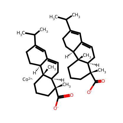 CC(C)C1=CC2=CC[C@@H]3[C@](C)(CCC[C@@]3(C)C(=O)[O-])[C@H]2CC1.CC(C)C1=CC2=CC[C@@H]3[C@](C)(CCC[C@@]3(C)C(=O)[O-])[C@H]2CC1.[Co+2]